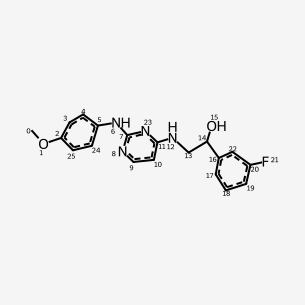 COc1ccc(Nc2nccc(NCC(O)c3cccc(F)c3)n2)cc1